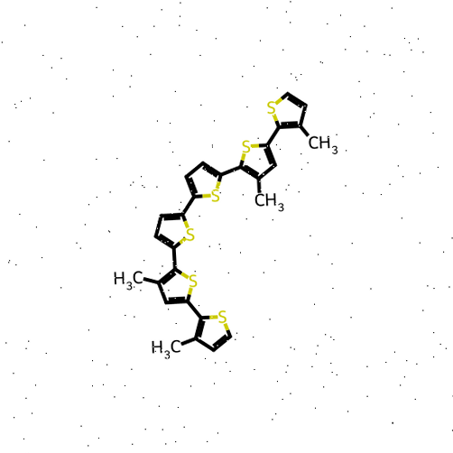 Cc1ccsc1-c1cc(C)c(-c2ccc(-c3ccc(-c4sc(-c5sccc5C)cc4C)s3)s2)s1